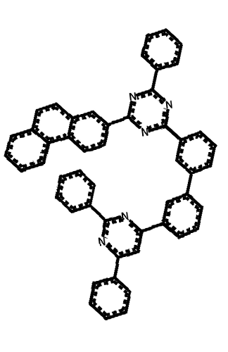 c1ccc(-c2cc(-c3cccc(-c4cccc(-c5nc(-c6ccccc6)nc(-c6ccc7c(ccc8ccccc87)c6)n5)c4)c3)nc(-c3ccccc3)n2)cc1